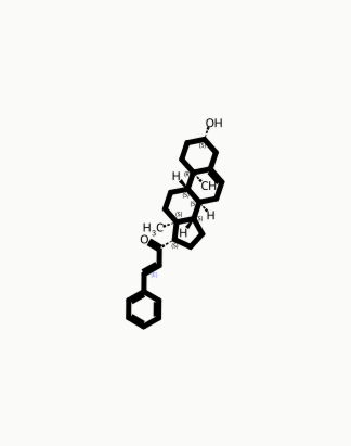 C[C@]12CC[C@H]3[C@@H](CC=C4C[C@@H](O)CC[C@@]43C)[C@@H]1CC[C@@H]2C(=O)/C=C/c1ccccc1